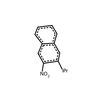 CC(C)c1cc2ccccc2cc1[N+](=O)[O-]